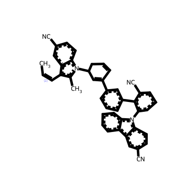 C/C=C\c1c(C)n(C2C=C(c3cccc(-c4c(C#N)cccc4-n4c5ccccc5c5cc(C#N)ccc54)c3)C=CC2)c2ccc(C#N)cc12